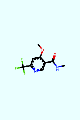 CNC(=O)c1cnc(C(F)(F)F)cc1OC